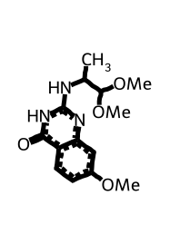 COc1ccc2c(=O)[nH]c(NC(C)C(OC)OC)nc2c1